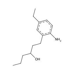 CCCC(O)CCc1cc(CC)ccc1N